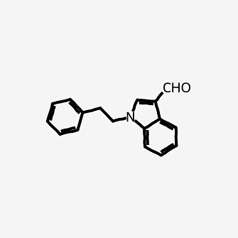 O=Cc1cn(CCc2ccccc2)c2ccccc12